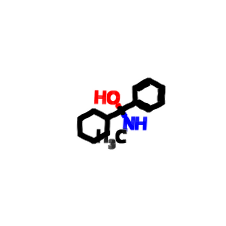 CNC(O)(c1ccccc1)C1CCCCC1